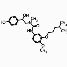 COc1ccc(NC(=O)N(C)CC(O)c2ccc(O)cc2)cc1OCCCC(C)C